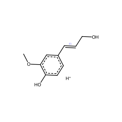 COc1cc(/C=C/CO)ccc1O.[H+]